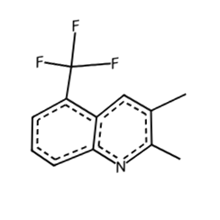 Cc1cc2c(C(F)(F)F)cccc2nc1C